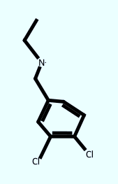 CC[N]Cc1ccc(Cl)c(Cl)c1